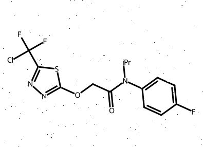 CC(C)N(C(=O)COc1nnc(C(F)(F)Cl)s1)c1ccc(F)cc1